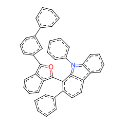 c1ccc(-c2cccc(-c3oc(-c4c(-c5ccccc5)ccc5c6ccccc6n(-c6ccccc6)c45)c4ccccc34)c2)cc1